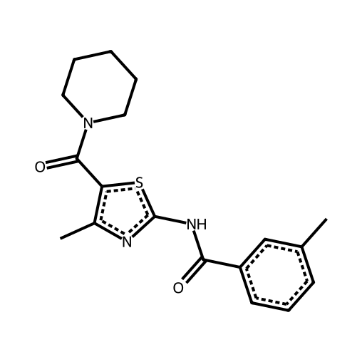 Cc1cccc(C(=O)Nc2nc(C)c(C(=O)N3CCCCC3)s2)c1